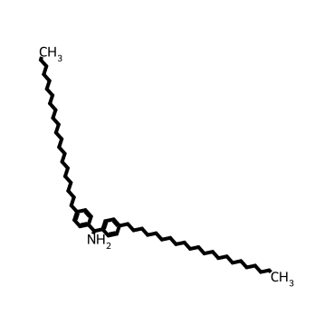 CCCCCCCCCCCCCCCCCCCCCCc1ccc(C(N)c2ccc(CCCCCCCCCCCCCCCCCCCCCC)cc2)cc1